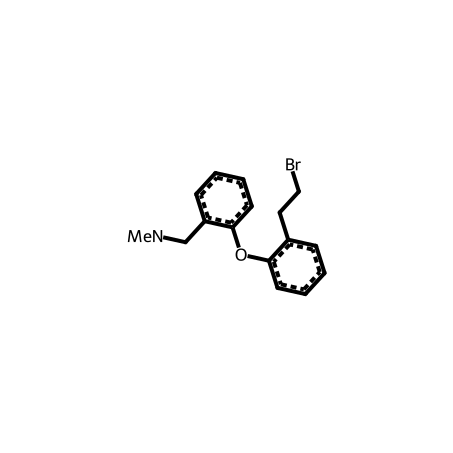 CNCc1ccccc1Oc1ccccc1CCBr